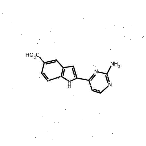 Nc1nccc(-c2cc3cc(C(=O)O)ccc3[nH]2)n1